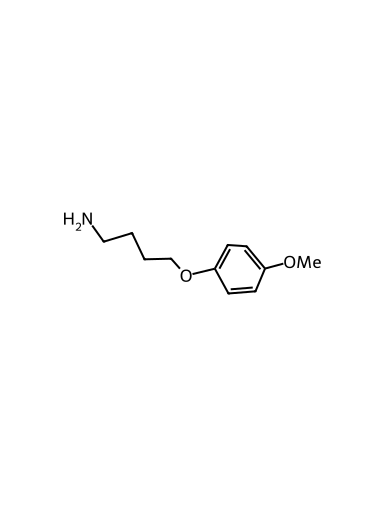 COc1ccc(OCCCCN)cc1